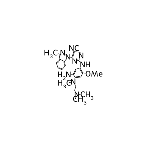 COc1cc(N(C)CCN(C)C)c(N)cc1Nc1ncc(C#N)c(-n2nc(C)c3ccccc32)n1